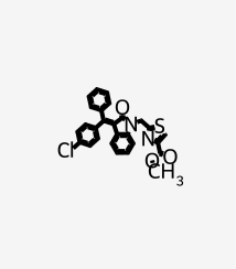 COC(=O)c1csc(CN2C(=O)/C(=C(\c3ccccc3)c3ccc(Cl)cc3)c3ccccc32)n1